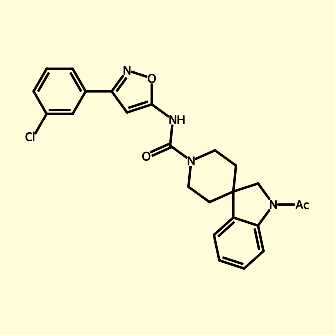 CC(=O)N1CC2(CCN(C(=O)Nc3cc(-c4cccc(Cl)c4)no3)CC2)c2ccccc21